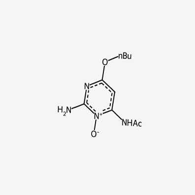 CCCCOc1cc(NC(C)=O)[n+]([O-])c(N)n1